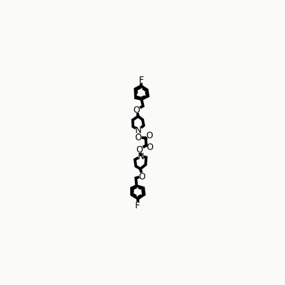 O=C(ON1CCC(OCc2ccc(F)cc2)CC1)C(=O)ON1CCC(OCc2ccc(F)cc2)CC1